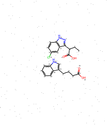 CCC(C(=O)O)c1n[nH]c2ccc(Cl)cc12.O=C(O)CCCc1c[nH]c2ccccc12